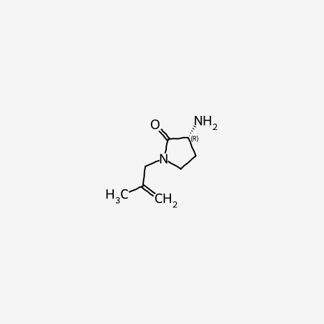 C=C(C)CN1CC[C@@H](N)C1=O